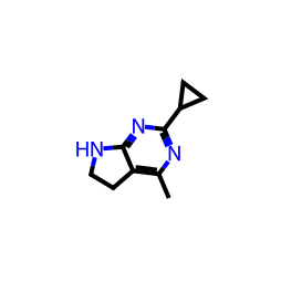 Cc1nc(C2CC2)nc2c1CCN2